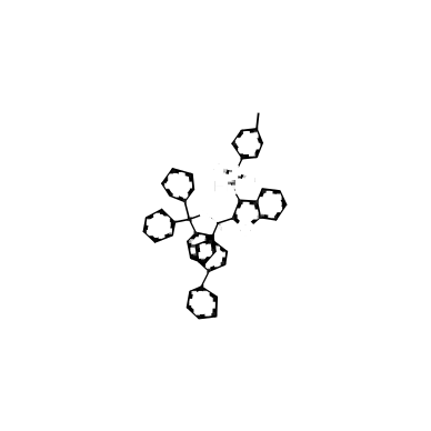 Cc1ccc(S(=O)(=O)Nc2c([C@H](SC(c3ccccc3)(c3ccccc3)c3ccccc3)c3ccc(-c4ccccc4)cc3)oc3ccccc23)cc1